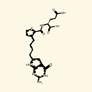 Nc1nc2[nH]c(CCCCc3ccsc3C(=O)N[C@@H](CCC(=O)O)C(=O)O)cc2c(=O)[nH]1